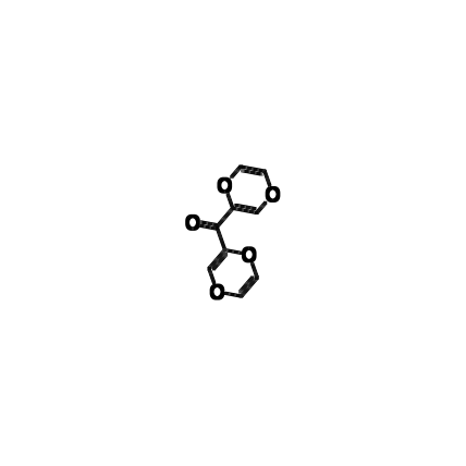 O=C(C1=COC=CO1)C1=COC=CO1